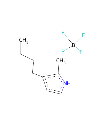 CCCCc1cc[nH]c1C.F[B-](F)(F)F